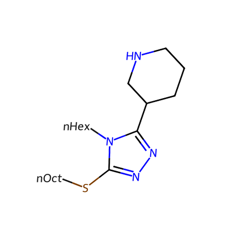 CCCCCCCCSc1nnc(C2CCCNC2)n1CCCCCC